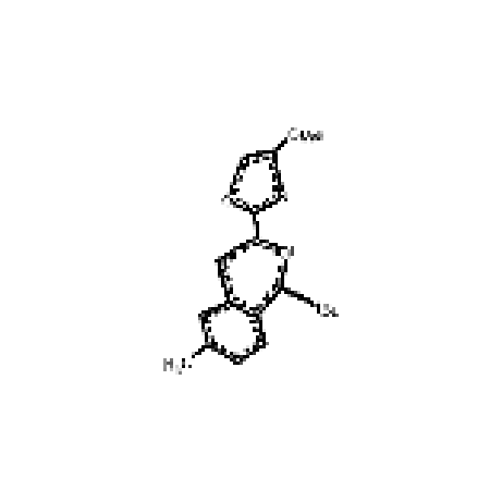 COc1coc(-c2cc3cc(C)ccc3c(C(C)(C)C)n2)n1